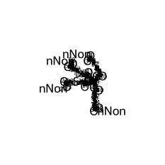 CCCCCCCCCOC(=O)CCSCCC(=O)OCC(COC(=O)CCSCCC(=O)OCCCCCCCCC)(COC(=O)CCSCCC(=O)OCCCCCCCCC)COC(=O)CCSCCC(=O)OCCCCCCCCC